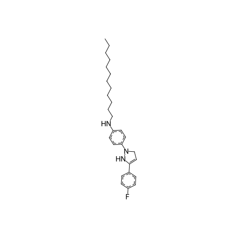 CCCCCCCCCCCCNc1ccc(N2CC=C(c3ccc(F)cc3)N2)cc1